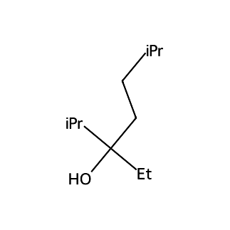 CCC(O)(CCC(C)C)C(C)C